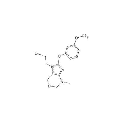 CC(C)CCn1c(Oc2cccc(OC(F)(F)F)c2)nc2c1COCN2C